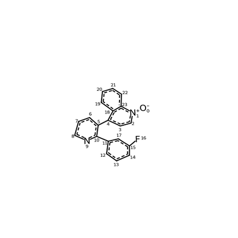 [O-][n+]1ccc(-c2cccnc2-c2cccc(F)c2)c2ccccc21